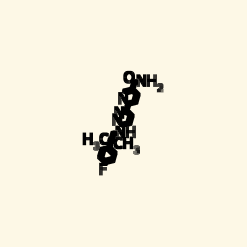 CC(C)(CNc1ccc(-c2ccc(C(N)=O)cn2)nn1)c1ccc(F)cc1